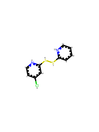 Clc1ccnc(SSc2ccccn2)c1